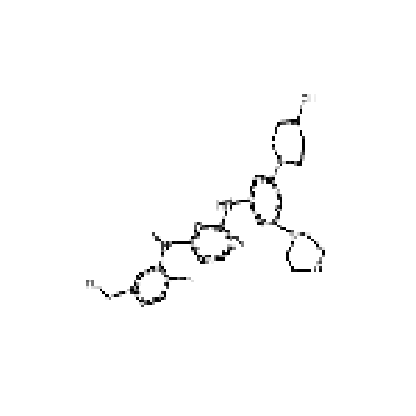 Cc1ccc(CO)cc1N(C)c1ccnc(Nc2cc(N3CCOCC3)cc(N3CCC(O)CC3)c2)n1